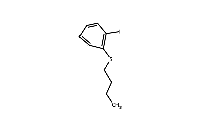 CCCCSc1[c]cccc1I